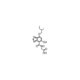 CCC(C)COc1cc(O)c(C(=O)NCC(=O)O)c2ncnn12